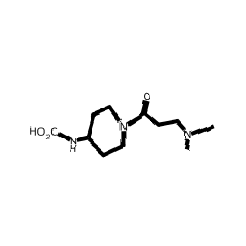 CN(C)CCC(=O)N1CCC(NC(=O)O)CC1